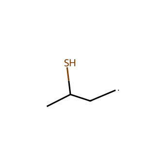 [CH2]CC(C)S